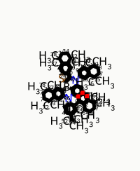 Cc1cc2c3c(c1)N(c1ccc4c(c1)C(C)(C)CCC4(C)C)c1c(sc4cc5c(cc14)C(C)(C)CCC5(C)C)B3c1cc3c(cc1N2c1ccc(C(C)(C)C)cc1-c1cccc2c1C(C)(C)CCC2(C)C)C(C)(C)CCC3(C)C